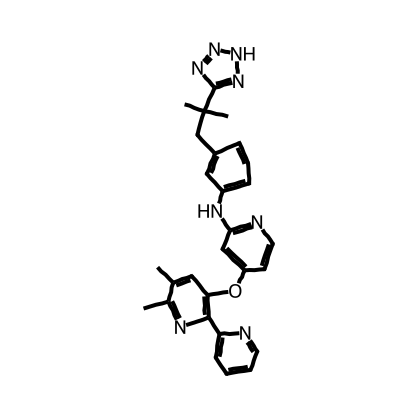 Cc1cc(Oc2ccnc(Nc3cccc(CC(C)(C)c4nn[nH]n4)c3)c2)c(-c2ccccn2)nc1C